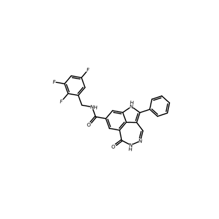 O=C(NCc1cc(F)cc(F)c1F)c1cc2c3c(c(-c4ccccc4)[nH]c3c1)C=NNC2=O